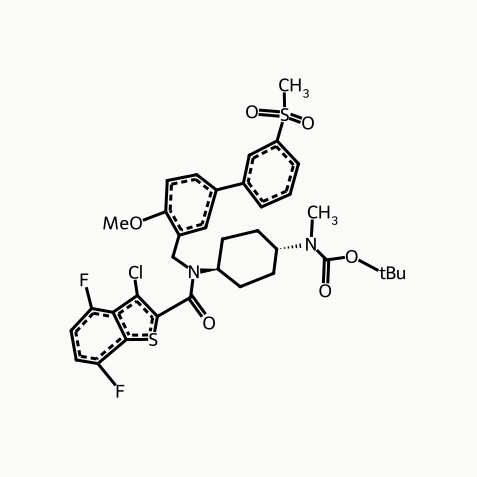 COc1ccc(-c2cccc(S(C)(=O)=O)c2)cc1CN(C(=O)c1sc2c(F)ccc(F)c2c1Cl)[C@H]1CC[C@H](N(C)C(=O)OC(C)(C)C)CC1